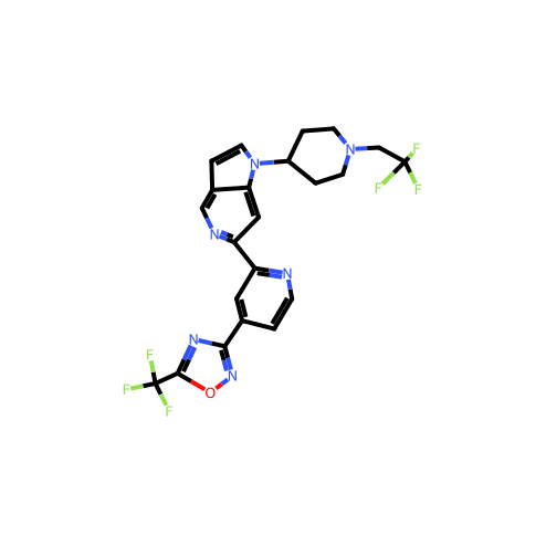 FC(F)(F)CN1CCC(n2ccc3cnc(-c4cc(-c5noc(C(F)(F)F)n5)ccn4)cc32)CC1